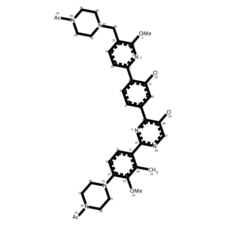 COc1nc(-c2ccc(-c3nc(-c4ccc(N5CCN(C(C)=O)CC5)c(OC)c4C)ncc3Cl)cc2Cl)ccc1CN1CCN(C(C)=O)CC1